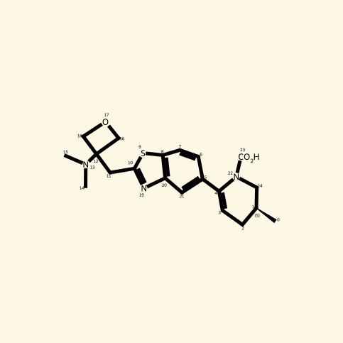 C[C@H]1CC=C(c2ccc3sc(CC4(N(C)C)COC4)nc3c2)N(C(=O)O)C1